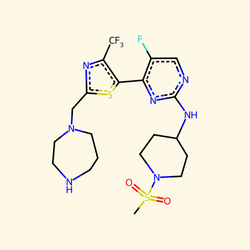 CS(=O)(=O)N1CCC(Nc2ncc(F)c(-c3sc(CN4CCCNCC4)nc3C(F)(F)F)n2)CC1